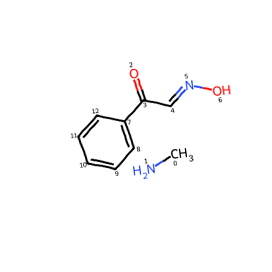 CN.O=C(C=NO)c1ccccc1